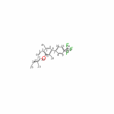 C=Cc1c(C)cc(-c2ccc(C(F)(F)F)cc2)c(C)c1O/C=C(\C)CC